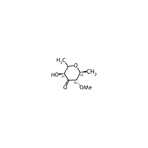 CO[C@@H]1C(=O)[C@@H](O)C(C)O[C@H]1C